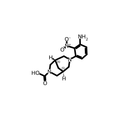 Nc1cccc(N2C[C@@H]3C[C@H](CN(C(=O)O)C3)C2)c1[N+](=O)[O-]